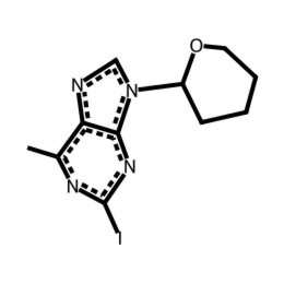 Cc1nc(I)nc2c1ncn2C1CCCCO1